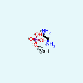 CCOP(=O)(O)O.NCCN.[NaH]